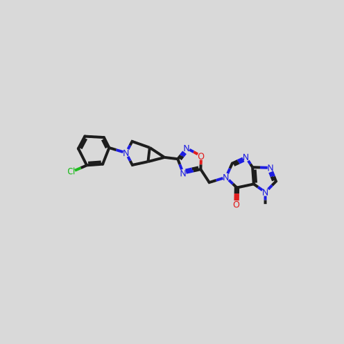 Cn1cnc2ncn(Cc3nc(C4C5CN(c6cccc(Cl)c6)CC54)no3)c(=O)c21